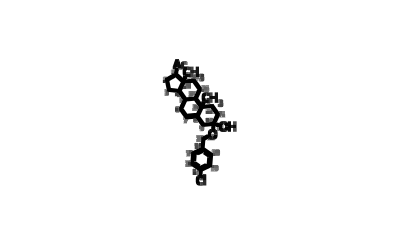 CC(=O)C1CCC2C3CC=C4CC(O)(OCc5ccc(Cl)cc5)CCC4(C)C3CCC12C